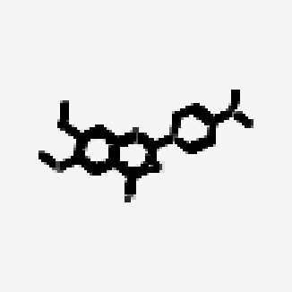 COc1cc2nc(N3C=CC(N(C)C)=CC3)[nH]c(=O)c2cc1OC